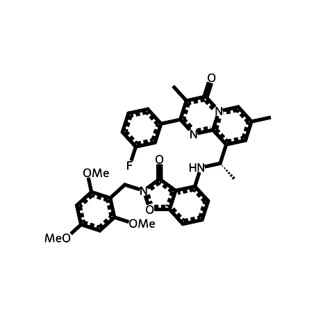 COc1cc(OC)c(Cn2oc3cccc(N[C@@H](C)c4cc(C)cn5c(=O)c(C)c(-c6cccc(F)c6)nc45)c3c2=O)c(OC)c1